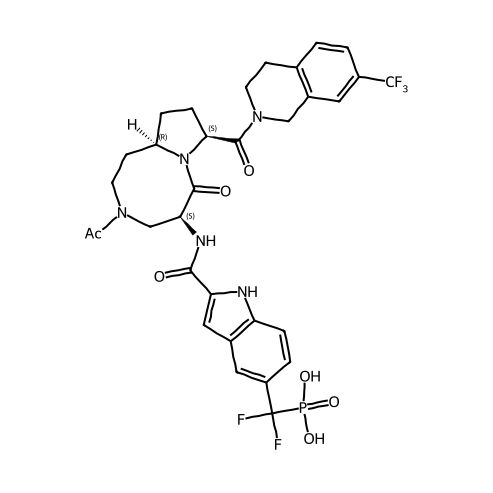 CC(=O)N1CC[C@H]2CC[C@@H](C(=O)N3CCc4ccc(C(F)(F)F)cc4C3)N2C(=O)[C@@H](NC(=O)c2cc3cc(C(F)(F)P(=O)(O)O)ccc3[nH]2)C1